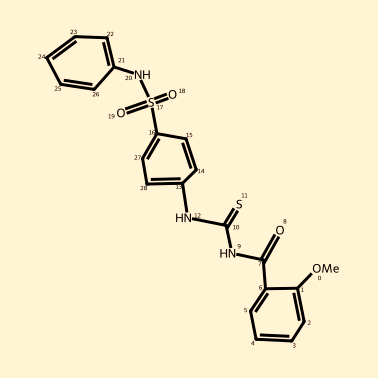 COc1ccccc1C(=O)NC(=S)Nc1ccc(S(=O)(=O)Nc2ccccc2)cc1